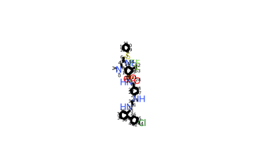 CN(C)CC[C@H](CSc1ccccc1)Nc1ccc(S(=O)(=O)NC(=O)c2ccc(NCCNCc3ccccc3-c3ccc(Cl)cc3)cc2)cc1C(F)(F)F